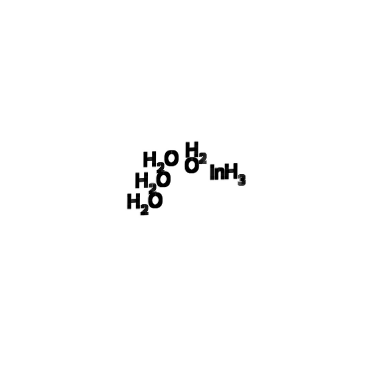 O.O.O.O.[InH3]